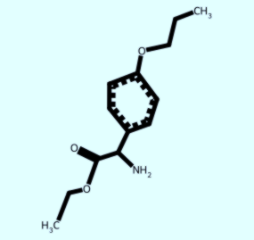 CCCOc1ccc(C(N)C(=O)OCC)cc1